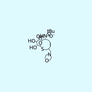 CC(C)(C)[S@@+]([O-])N[C@@H]1C/C=C\C(CN2CCOCC2)CSC2O[C@H]1[C@@H](O)C(O)[C@H]2O